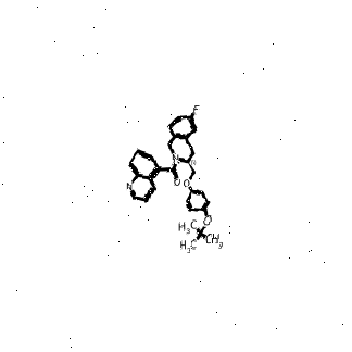 CC(C)(C)Oc1ccc(OC[C@@H]2Cc3cc(F)ccc3CN2C(=O)c2cccc3ncccc23)cc1